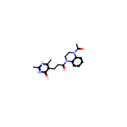 CC(=O)N1CCN(C(=O)CCc2c(C)nc(C)[nH]c2=O)c2ccccc21